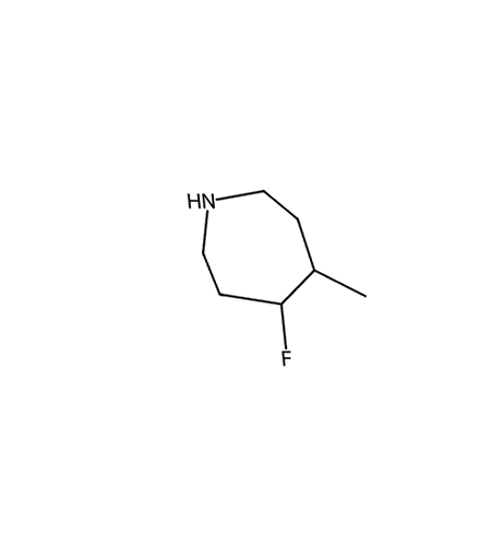 CC1CCNCCC1F